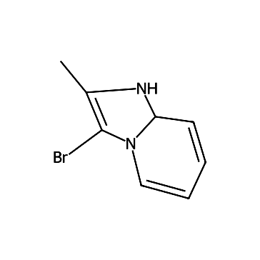 CC1=C(Br)N2C=CC=CC2N1